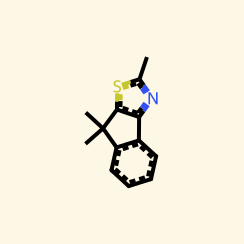 Cc1nc2c(s1)C(C)(C)c1ccccc1-2